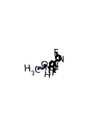 C/C=C/C(=O)Nc1ccc(-c2cncc(F)c2)nc1C(F)(F)F